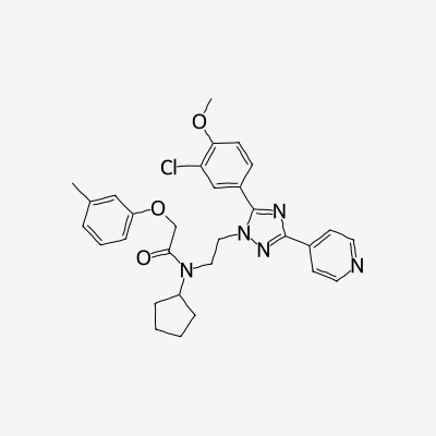 COc1ccc(-c2nc(-c3ccncc3)nn2CCN(C(=O)COc2cccc(C)c2)C2CCCC2)cc1Cl